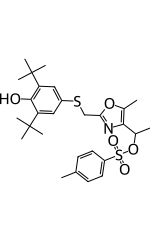 Cc1ccc(S(=O)(=O)OC(C)c2nc(CSc3cc(C(C)(C)C)c(O)c(C(C)(C)C)c3)oc2C)cc1